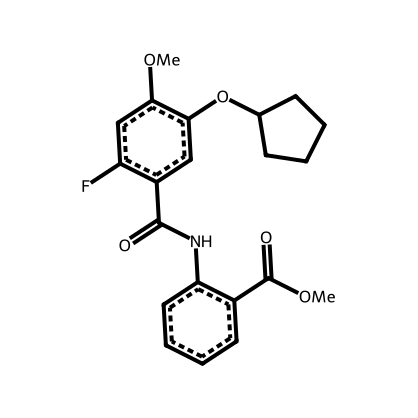 COC(=O)c1ccccc1NC(=O)c1cc(OC2CCCC2)c(OC)cc1F